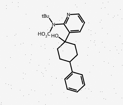 CC(C)(C)N(C(=O)O)c1ncccc1C1(O)CCC(c2ccccc2)CC1